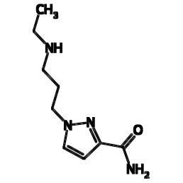 CCNCCCn1ccc(C(N)=O)n1